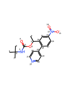 CC(OC(=O)NC(C)(C)C)c1cc([N+](=O)[O-])ccc1-c1ccncc1